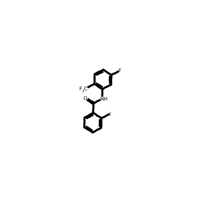 O=C(Nc1cc(F)ccc1C(F)(F)F)c1ccccc1I